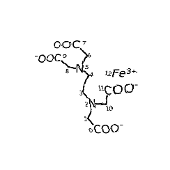 O=C([O-])CN(CCN(CC(=O)[O-])CC(=O)[O-])CC(=O)[O-].[Fe+3]